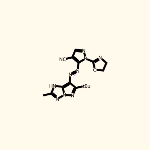 Cc1nn2nc(C(C)(C)C)c(/N=N/c3c(C#N)cnn3C3=NCCO3)c2[nH]1